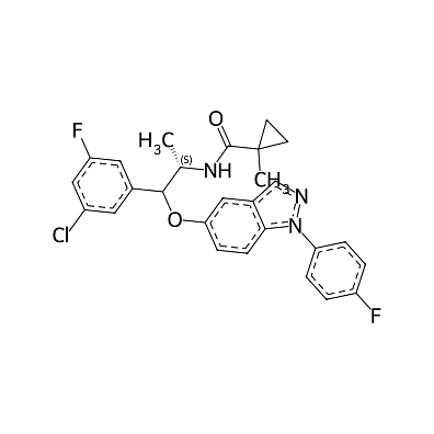 C[C@H](NC(=O)C1(C)CC1)C(Oc1ccc2c(cnn2-c2ccc(F)cc2)c1)c1cc(F)cc(Cl)c1